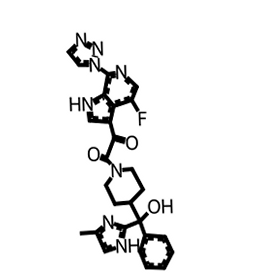 Cc1c[nH]c(C(O)(c2ccccc2)C2CCN(C(=O)C(=O)c3c[nH]c4c(-n5ccnn5)ncc(F)c34)CC2)n1